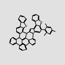 Cc1cc(C)c(-c2cc3c(cc4n5c6c(ccc7cccc(c76)n34)B(c3ccccc3-c3ccccc3)c3ccc4c(oc6ccccc64)c3-5)c3c2oc2ccccc23)c(C)c1